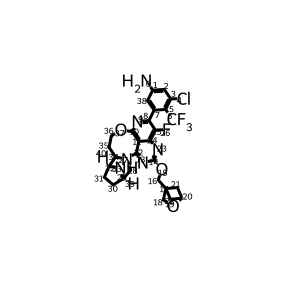 Nc1cc(Cl)c(C(F)(F)F)c(-c2nc3c4c(nc(OCC56COC(C5)C6)nc4c2F)N2C[C@H]4CC[C@H](N4)C2CCO3)c1